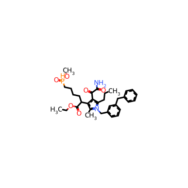 CCCc1c(C(=O)C(N)=O)c(C(CCCC[PH](=O)OC)C(=O)OCC)c(C)n1Cc1cccc(Cc2ccccc2)c1